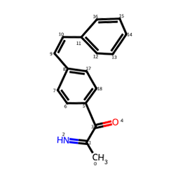 CC(=N)C(=O)c1ccc(/C=C\c2ccccc2)cc1